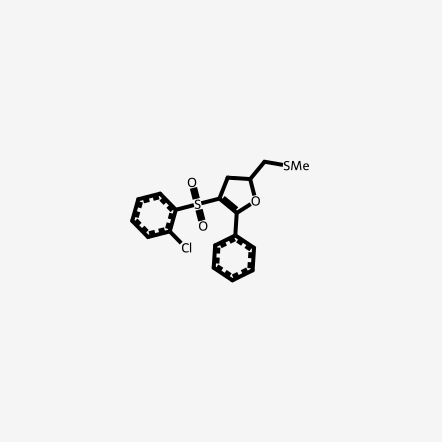 CSCC1CC(S(=O)(=O)c2ccccc2Cl)=C(c2ccccc2)O1